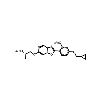 COc1cc(OCC2CC2)ccc1C1=NC2C=NC(OC[C@H](C)NC(C)=O)=CC2O1